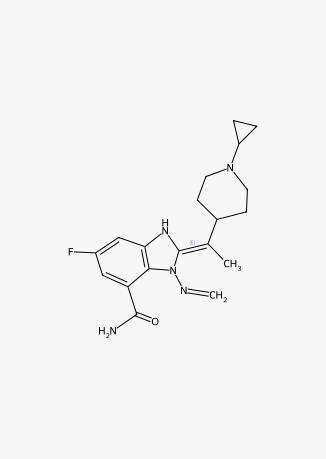 C=NN1/C(=C(\C)C2CCN(C3CC3)CC2)Nc2cc(F)cc(C(N)=O)c21